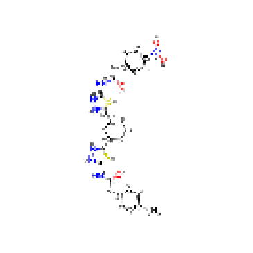 Cc1ccc(CC(=O)Nc2nnc([C@H]3CCC[C@H](c4nnc(NC(=O)Cc5ccc([N+](=O)[O-])cc5)s4)C3)s2)cc1